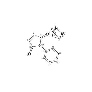 CCN.CCN.O=C1C=CC(=O)N1c1ccccc1